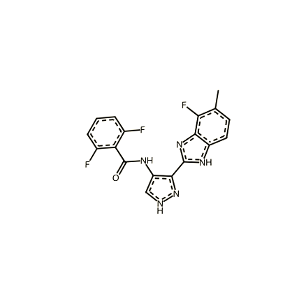 Cc1ccc2[nH]c(-c3n[nH]cc3NC(=O)c3c(F)cccc3F)nc2c1F